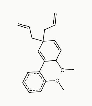 C=CCC1(CC=C)C=CC(OC)C(c2ccccc2OC)=C1